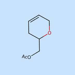 CC(=O)OCC1CC=CCO1